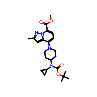 COC(=O)c1ccc(N2CCC(N(C(=O)OC(C)(C)C)C3CC3)CC2)c2cc(C)nn12